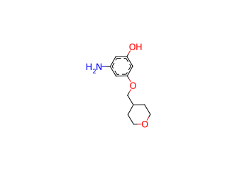 Nc1cc(O)cc(OCC2CCOCC2)c1